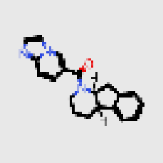 O=C(c1ccc2nccn2c1)N1CCC[C@H]2c3ccccc3C[C@H]21